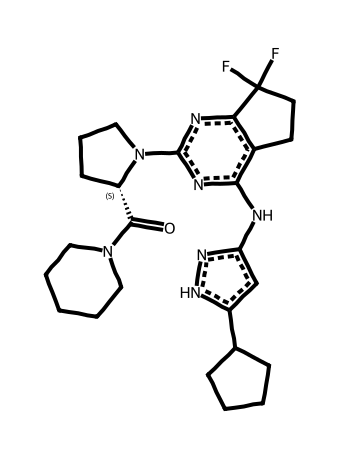 O=C([C@@H]1CCCN1c1nc(Nc2cc(C3CCCC3)[nH]n2)c2c(n1)C(F)(F)CC2)N1CCCCC1